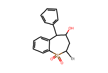 CCC1CC(O)C(c2ccccc2)c2ccccc2S1(=O)=O